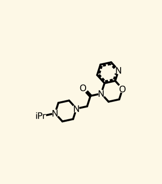 CC(C)N1CCN(CC(=O)N2CCOc3ncccc32)CC1